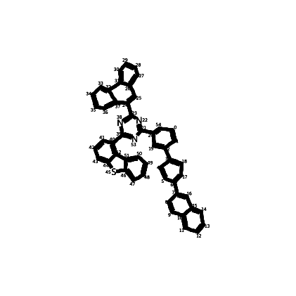 c1cc(-c2ccc(-c3ccc4ccccc4c3)cc2)cc(-c2nc(-c3cc4ccccc4c4ccccc34)nc(-c3cccc4sc5ccccc5c34)n2)c1